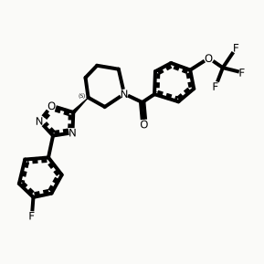 O=C(c1ccc(OC(F)(F)F)cc1)N1CCC[C@H](c2nc(-c3ccc(F)cc3)no2)C1